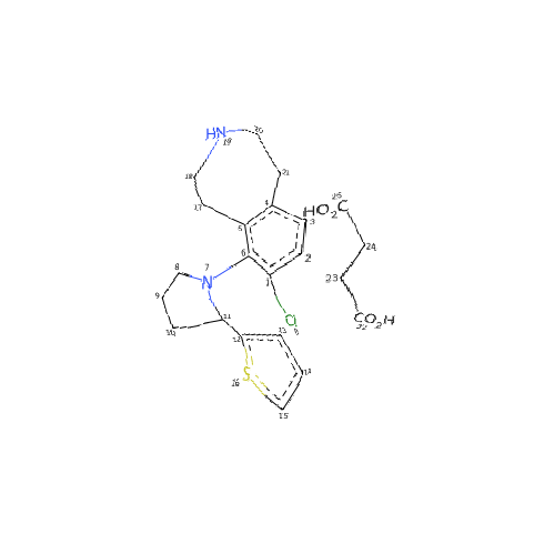 Clc1ccc2c(c1N1CCCC1c1cccs1)CCNCC2.O=C(O)CCC(=O)O